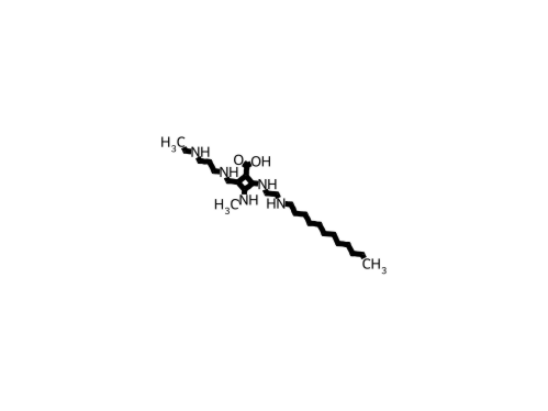 CCCCCCCCCCCCNCCNC1C(NC)C(CNCCCNCC)C1C(=O)O